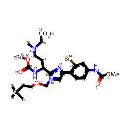 COC(=O)Nc1ccc(-c2cn(COCC[Si](C)(C)C)c(C(CCN(C)CC(=O)O)NC(=O)OC(C)(C)C)n2)c(Br)c1